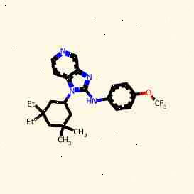 CCC1(CC)CC(n2c(Nc3ccc(OC(F)(F)F)cc3)nc3cnccc32)CC(C)(C)C1